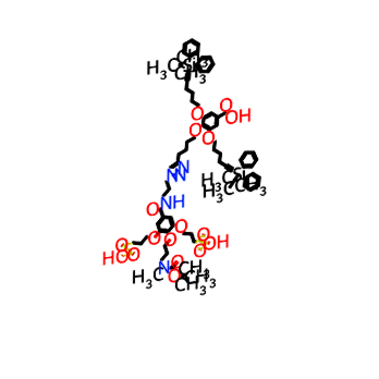 CN(CCCOc1c(OCCCS(=O)(=O)O)cc(C(=O)NCCCn2cc(CCCCOc3c(OCCCCC#C[Si](c4ccccc4)(c4ccccc4)C(C)(C)C)cc(C(=O)O)cc3OCCCCC#C[Si](c3ccccc3)(c3ccccc3)C(C)(C)C)nn2)cc1OCCCS(=O)(=O)O)C(=O)OC(C)(C)C